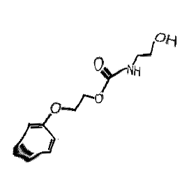 O=C(NCCO)OCCOc1[c]cccc1